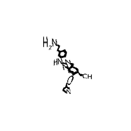 C#Cc1cc2cnc(Nc3cccc(CCN)c3)nc2cc1OCc1cccnc1